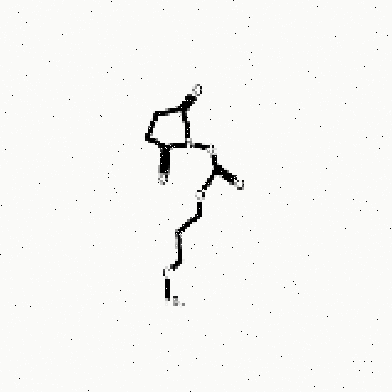 CCCCOCCCOC(=O)ON1C(=O)CCC1=O